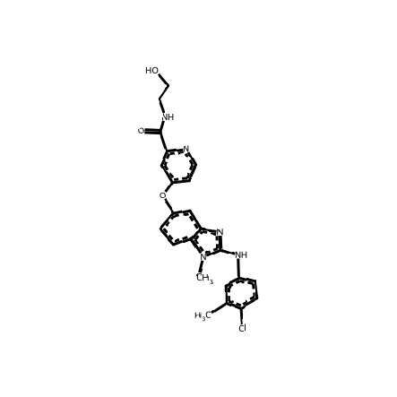 Cc1cc(Nc2nc3cc(Oc4ccnc(C(=O)NCCO)c4)ccc3n2C)ccc1Cl